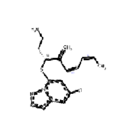 C=C(/C=C\C=C/C)[C@@H](CCN)Oc1cc(Cl)cc2ccnn12